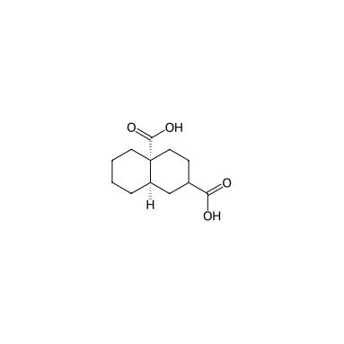 O=C(O)C1CC[C@]2(C(=O)O)CCCC[C@@H]2C1